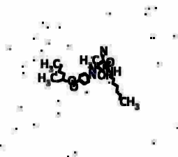 CCCCCCCCNn1c(O)c(/N=N/c2ccc(C(=O)OCC(CC)CCCC)cc2)c(C)c(C#N)c1=O